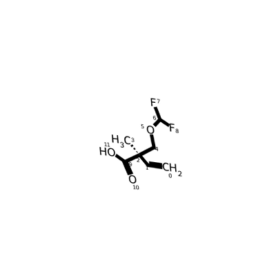 C=C[C@](C)(COC(F)F)C(=O)O